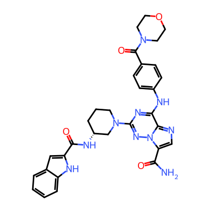 NC(=O)c1cnc2c(Nc3ccc(C(=O)N4CCOCC4)cc3)nc(N3CCC[C@@H](NC(=O)c4cc5ccccc5[nH]4)C3)nn12